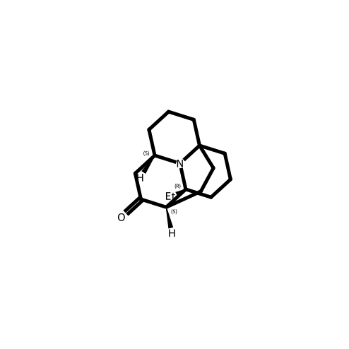 CC[C@@]12CCCC34CCC[C@@H](CC(=O)[C@H]1CC3)N42